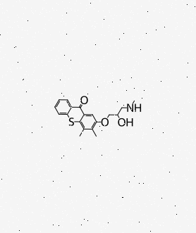 CNCC(O)COc1cc2c(=O)c3ccccc3sc2c(C)c1C